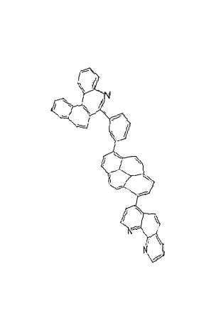 C1=CC2=C(c3cccc(-c4nc5ccccc5c5c4ccc4ccccc45)c3)C=CC3=CC=C4C(c5ccnc6c5ccc5cccnc56)=CC=C1C4C32